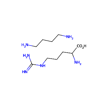 N=C(N)NCCCC(N)C(=O)O.NCCCCN